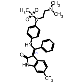 CN(C)CCN(c1ccc(N/C(=C2\C(=O)Nc3cc(C(F)(F)F)ccc32)c2ccccc2)cc1)S(C)(=O)=O